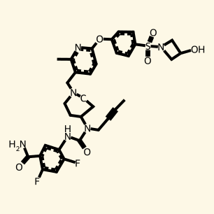 CC#CCN(C(=O)Nc1cc(C(N)=O)c(F)cc1F)C1CCN(Cc2ccc(Oc3ccc(S(=O)(=O)N4CC(O)C4)cc3)nc2C)CC1